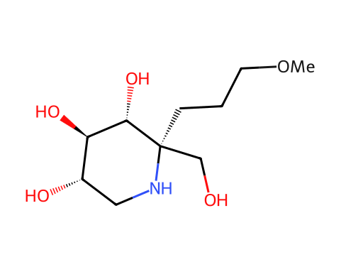 COCCC[C@]1(CO)NC[C@H](O)[C@@H](O)[C@@H]1O